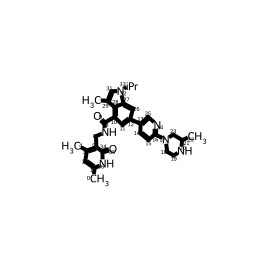 Cc1cc(C)c(CNC(=O)c2cc(-c3ccc(N4CCNC(C)C4)nc3)cc3c2c(C)cn3C(C)C)c(=O)[nH]1